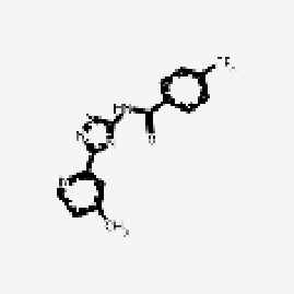 Cc1ccnc(-c2nsc(NC(=O)c3ccc(C(F)(F)F)cc3)n2)c1